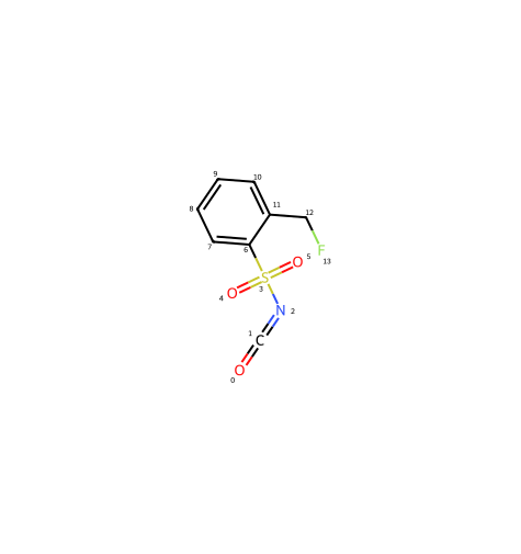 O=C=NS(=O)(=O)c1ccccc1CF